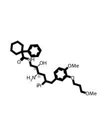 COCCCOc1cc(CC(C[C@H](N)[C@@H](O)CNC(=O)C2(c3ccccc3)CCCCC2)C(C)C)ccc1OC